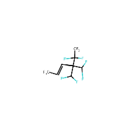 FC(F)C(/C=C/C(F)(F)F)(C(F)F)C(F)(F)C(F)(F)F